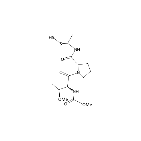 COC(=O)N[C@H](C(=O)N1CCC[C@H]1C(=O)NC(C)SS)[C@H](C)OC